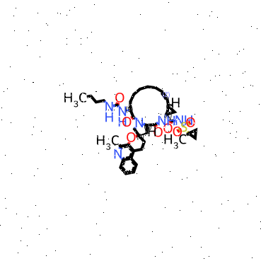 CCCCNC(=O)N[C@H]1CCCCC/C=C\[C@@H]2C[C@@]2(C(=O)NS(=O)(=O)C2(C)CC2)NC(=O)[C@@H]2C[C@]3(CCc4c(c(C)nc5ccccc45)O3)CN2C1=O